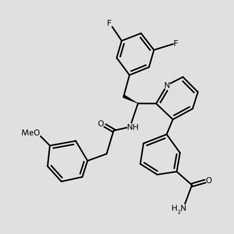 COc1cccc(CC(=O)N[C@@H](Cc2cc(F)cc(F)c2)c2ncccc2-c2cccc(C(N)=O)c2)c1